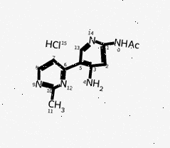 CC(=O)Nc1cc(N)c(-c2ccnc(C)n2)cn1.Cl